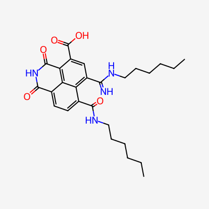 CCCCCCNC(=N)c1cc(C(=O)O)c2c3c(ccc(C(=O)NCCCCCC)c13)C(=O)NC2=O